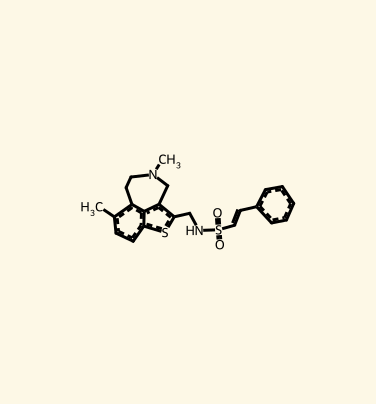 Cc1ccc2sc(CNS(=O)(=O)C=Cc3ccccc3)c3c2c1CCN(C)C3